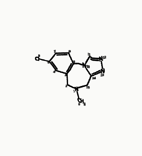 CN1Cc2cc(Cl)ccc2-n2cnnc2C1